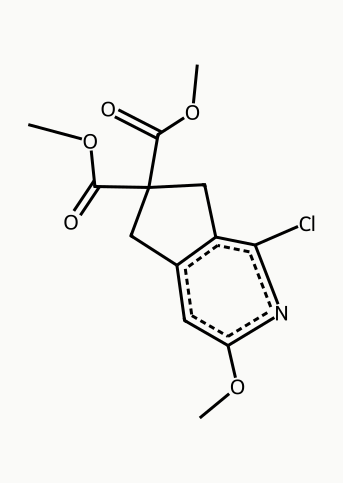 COC(=O)C1(C(=O)OC)Cc2cc(OC)nc(Cl)c2C1